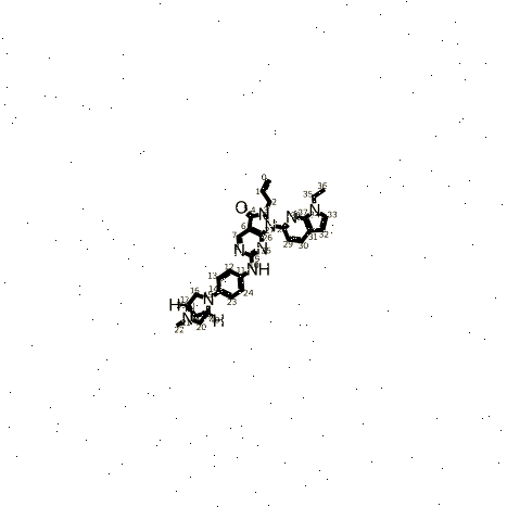 C=CCn1c(=O)c2cnc(Nc3ccc(N4C[C@@H]5C[C@H]4CN5C)cc3)nc2n1-c1ccc2ccn(CC)c2n1